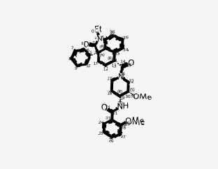 CCNC(=O)[C@]1(c2ccccc2)CC[C@@H](C(=O)N2CC[C@@H](NC(=O)c3ccccc3OC)[C@@H](OC)C2)c2ccccc21